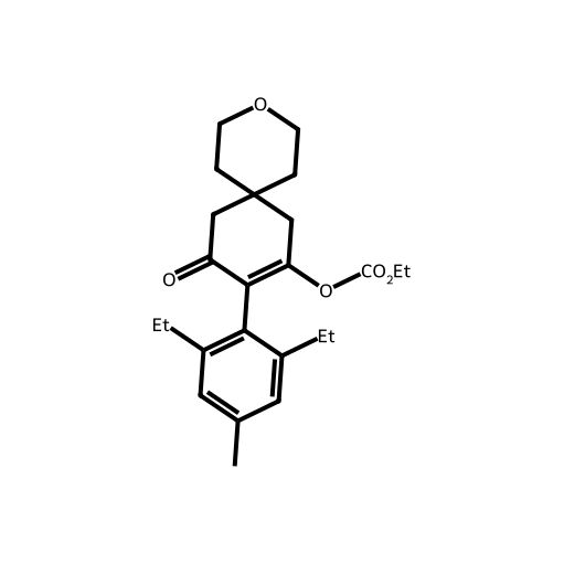 CCOC(=O)OC1=C(c2c(CC)cc(C)cc2CC)C(=O)CC2(CCOCC2)C1